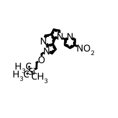 C[Si](C)(C)CCOCn1ccc2c1ncc1ccn(-c3ccc([N+](=O)[O-])cn3)c12